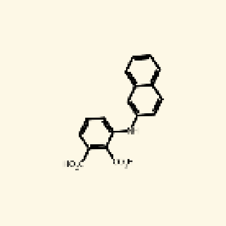 O=C(O)c1cccc(Nc2ccc3ccccc3c2)c1C(=O)O